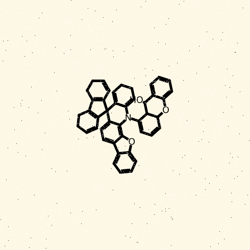 OC1c2ccccc2OC2C=CC=C(N3C4=CCCC=C4C4(C5=C(CCC=C5)C5=C4C=CCC5)c4ccc5c(oc6ccccc65)c43)C21